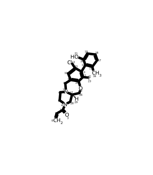 C=CC(=O)N1CCN2Cc3cc(Cl)c(-c4c(C)cccc4O)c(F)c3OC[C@H]2C1